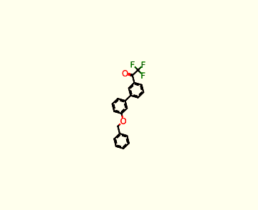 O=C(c1cccc(-c2cccc(OCc3ccccc3)c2)c1)C(F)(F)F